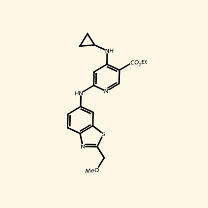 CCOC(=O)c1cnc(Nc2ccc3nc(COC)sc3c2)cc1NC1CC1